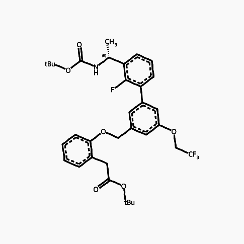 C[C@@H](NC(=O)OC(C)(C)C)c1cccc(-c2cc(COc3ccccc3CC(=O)OC(C)(C)C)cc(OCC(F)(F)F)c2)c1F